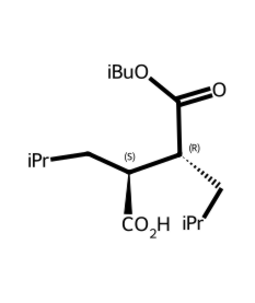 CC(C)COC(=O)[C@H](CC(C)C)[C@H](CC(C)C)C(=O)O